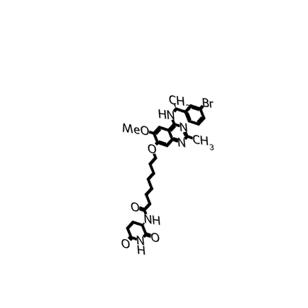 COc1cc2c(N[C@H](C)c3cccc(Br)c3)nc(C)nc2cc1OCCCCCCCC(=O)N[C@H]1CCC(=O)NC1=O